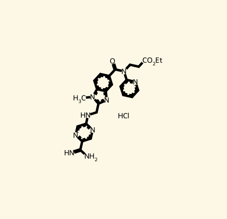 CCOC(=O)CCN(C(=O)c1ccc2c(c1)nc(CNc1cnc(C(=N)N)cn1)n2C)c1ccccn1.Cl